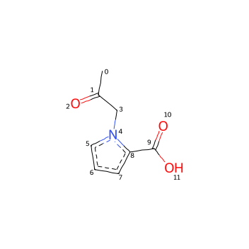 CC(=O)Cn1cccc1C(=O)O